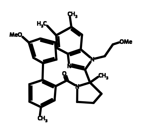 COCCn1c(C2(C)CCCN2C(=O)c2cc(C)ccc2-c2cccc(OC)c2)nc2cc(C)c(C)cc21